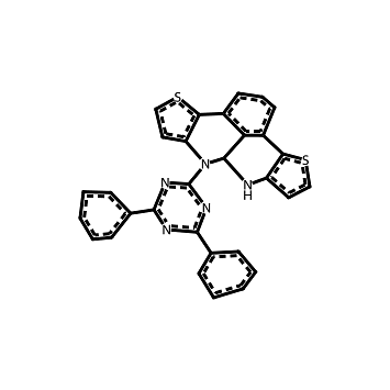 c1ccc(-c2nc(-c3ccccc3)nc(N3c4ccsc4-c4cccc5c4C3Nc3ccsc3-5)n2)cc1